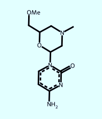 COCC1CN(C)CC(n2ccc(N)nc2=O)O1